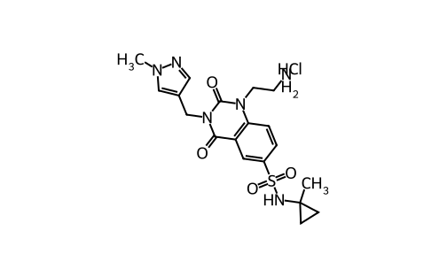 Cl.Cn1cc(Cn2c(=O)c3cc(S(=O)(=O)NC4(C)CC4)ccc3n(CCN)c2=O)cn1